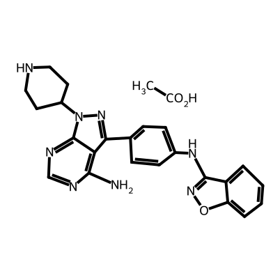 CC(=O)O.Nc1ncnc2c1c(-c1ccc(Nc3noc4ccccc34)cc1)nn2C1CCNCC1